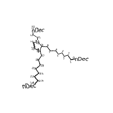 CCCCCCCCCCCCCCCCCCC1N(CCCCCCCCCCCC)C=CN1CCCCCCCCCCCCCCCCC